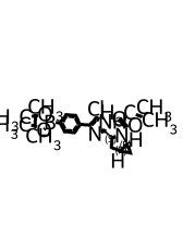 CC(C)(C)OC(=O)N1[C@@H]2C[C@@H]2C[C@H]1c1nc(-c2ccc(B3OC(C)(C)C(C)(C)O3)cc2)c(Cl)[nH]1